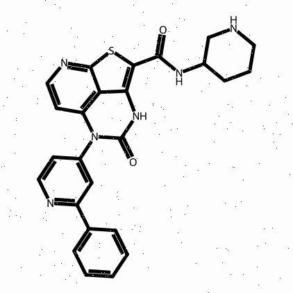 O=C(NC1CCCNC1)c1sc2nccc3c2c1NC(=O)N3c1ccnc(-c2ccccc2)c1